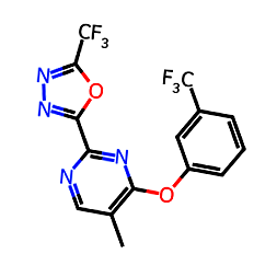 Cc1cnc(-c2nnc(C(F)(F)F)o2)nc1Oc1cccc(C(F)(F)F)c1